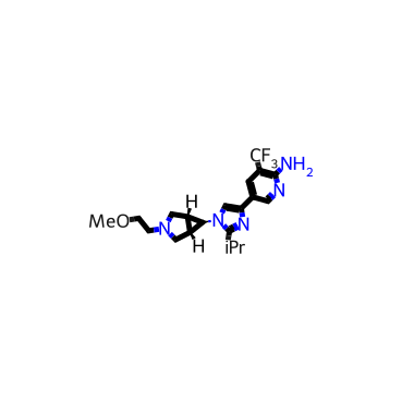 COCCN1C[C@@H]2[C@H](C1)[C@@H]2n1cc(-c2cnc(N)c(C(F)(F)F)c2)nc1C(C)C